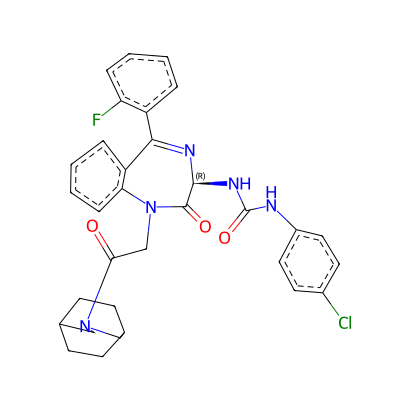 O=C(Nc1ccc(Cl)cc1)N[C@@H]1N=C(c2ccccc2F)c2ccccc2N(CC(=O)N2CC3CCC(CC3)C2)C1=O